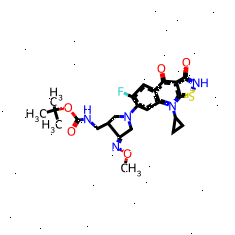 CO/N=C1\CN(c2cc3c(cc2F)c(=O)c2c(=O)[nH]sc2n3C2CC2)CC1CNC(=O)OC(C)(C)C